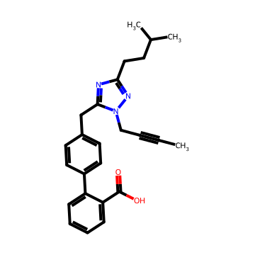 CC#CCn1nc(CCC(C)C)nc1Cc1ccc(-c2ccccc2C(=O)O)cc1